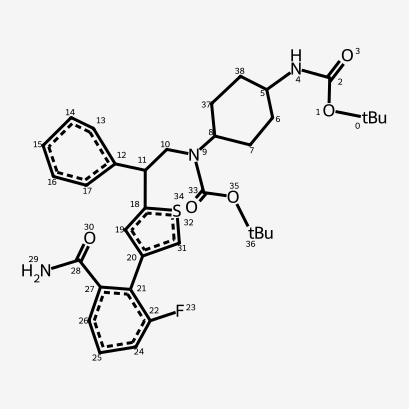 CC(C)(C)OC(=O)NC1CCC(N(CC(c2ccccc2)c2cc(-c3c(F)cccc3C(N)=O)cs2)C(=O)OC(C)(C)C)CC1